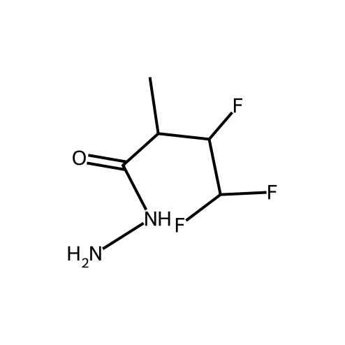 CC(C(=O)NN)C(F)C(F)F